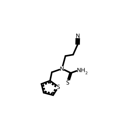 N#CCCN(Cc1cccs1)C(N)=S